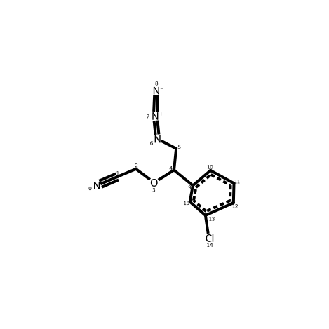 N#CCOC(CN=[N+]=[N-])c1cccc(Cl)c1